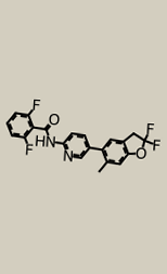 Cc1cc2c(cc1-c1ccc(NC(=O)c3c(F)cccc3F)nc1)CC(F)(F)O2